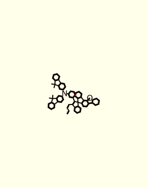 C=C/C=C\C1=C(c2cccc(N(c3ccc4c(c3)C(C)(C)c3ccccc3-4)c3ccc4c(c3)C(C)(C)c3ccccc3-4)c2)C2(c3ccccc31)c1ccccc1-c1c2ccc2c1oc1ccccc12